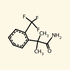 CC(C)(C(N)=O)c1ccccc1C(F)(F)F